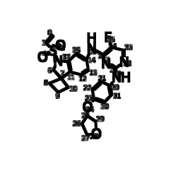 C=CS(=O)(=O)N1CC2(CCC2)c2ccc(Nc3nc(Nc4ccc(OC5CCOC5)cc4)ncc3F)cc21